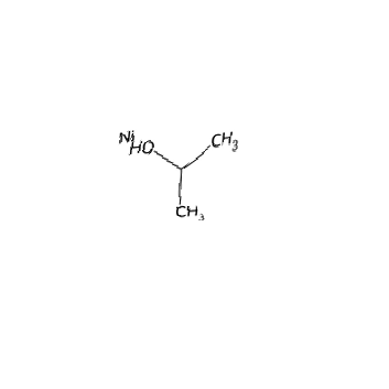 CC(C)O.[Ni]